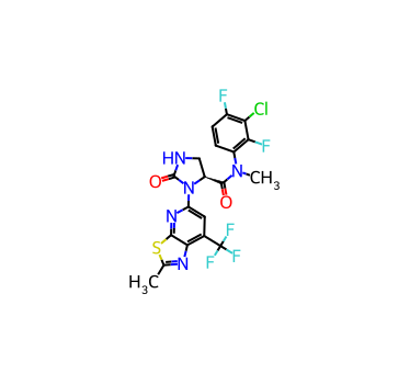 Cc1nc2c(C(F)(F)F)cc(N3C(=O)NC[C@H]3C(=O)N(C)c3ccc(F)c(Cl)c3F)nc2s1